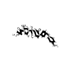 C[C@@H]1CN(C(=O)C(C)(C)N)[C@H](N)CN1C(=O)Nc1ccn(-c2ccc(CN3CCC(N)CC3)cc2)c(=O)n1